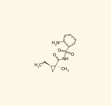 C=C[C@@H]1C[C@]1(C)C(=O)NS(=O)(=O)c1ccccc1N